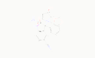 CNC(=O)[C@@H]1C[C@@H](O)C[N+]1(C)C1(c2cccc3c2OCO3)C(=O)Nc2ccc(C#N)cc21